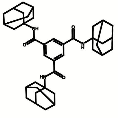 O=C(NC12CC3CC(CC(C3)C1)C2)c1cc(C(=O)NC23CC4CC(CC(C4)C2)C3)cc(C(=O)NC23CC4CC(CC(C4)C2)C3)c1